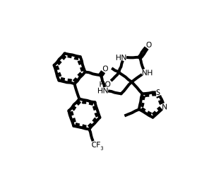 Cc1cnsc1C1(CNC(=O)c2ccccc2-c2ccc(C(F)(F)F)cc2)NC(=O)NC1(C)O